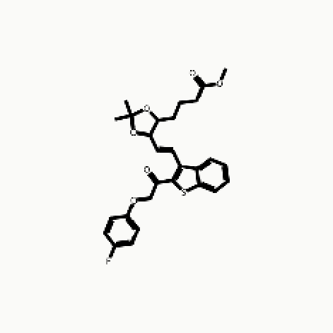 COC(=O)CCCC1OC(C)(C)OC1/C=C/c1c(C(=O)COc2ccc(F)cc2)sc2ccccc12